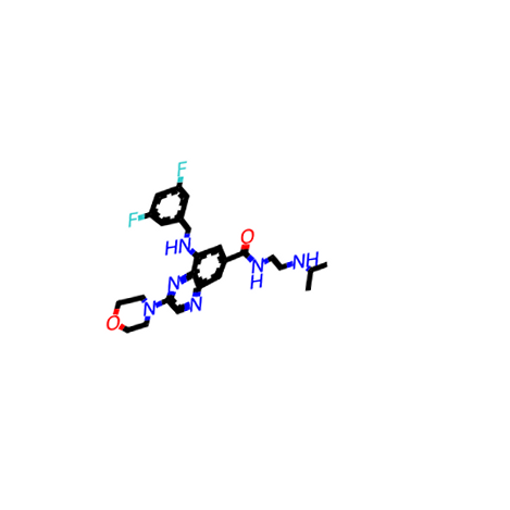 CC(C)NCCNC(=O)c1cc(NCc2cc(F)cc(F)c2)c2nc(N3CCOCC3)cnc2c1